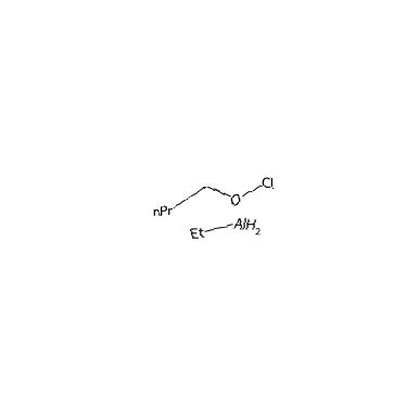 CCCCOCl.C[CH2][AlH2]